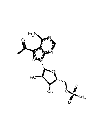 CC(=O)c1nn([C@@H]2O[C@H](COS(N)(=O)=O)[C@@H](O)[C@H]2O)c2ncnc(N)c12